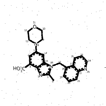 Cc1nc2c(C(=O)O)cc(N3CCOCC3)cc2n1Cc1cccc2ncccc12